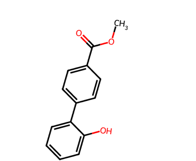 COC(=O)c1ccc(-c2ccccc2O)cc1